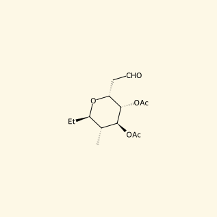 CC[C@H]1O[C@H](CC=O)[C@H](OC(C)=O)[C@@H](OC(C)=O)[C@@H]1C